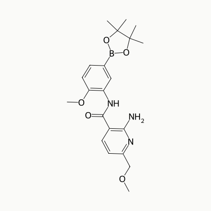 COCc1ccc(C(=O)Nc2cc(B3OC(C)(C)C(C)(C)O3)ccc2OC)c(N)n1